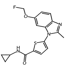 Cc1nc2ccc(OCF)cc2n1-c1ccc(C(=O)NC2CC2)s1